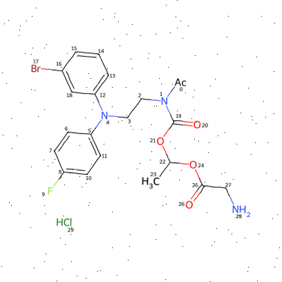 CC(=O)N(CCN(c1ccc(F)cc1)c1cccc(Br)c1)C(=O)OC(C)OC(=O)CN.Cl